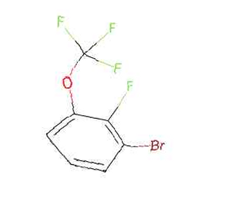 Fc1c(Br)cccc1OC(F)(F)F